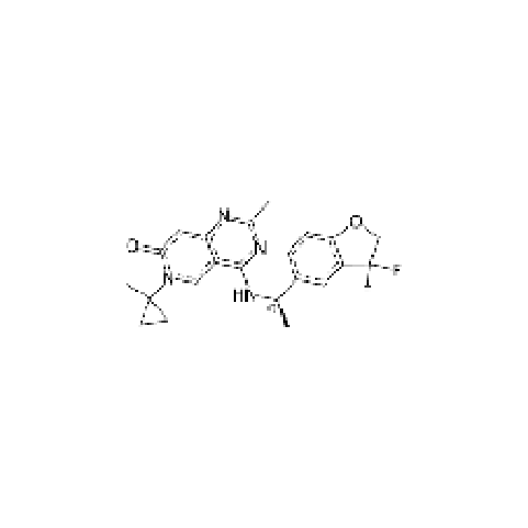 Cc1nc(N[C@H](C)c2ccc3c(c2)C(F)(F)CO3)c2cn(C3(C)CC3)c(=O)cc2n1